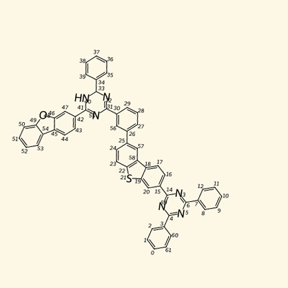 c1ccc(-c2nc(-c3ccccc3)nc(-c3ccc4c(c3)sc3ccc(-c5cccc(C6=NC(c7ccccc7)NC(c7ccc8c(c7)oc7ccccc78)=N6)c5)cc34)n2)cc1